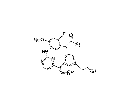 CCC(=O)Nc1cc(Nc2nccc(-c3c[nH]c4c(CCO)cccc34)n2)c(OC)cc1F